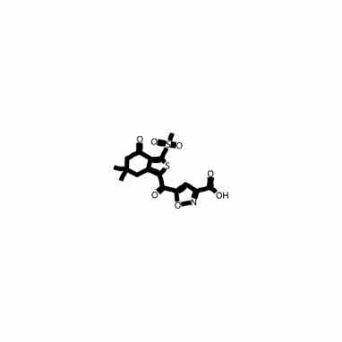 CC1(C)CC(=O)c2c(S(C)(=O)=O)sc(C(=O)c3cc(C(=O)O)no3)c2C1